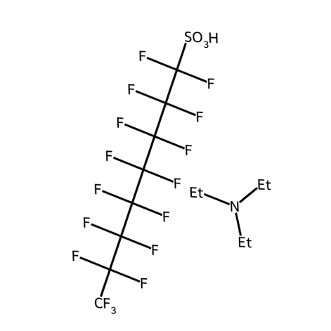 CCN(CC)CC.O=S(=O)(O)C(F)(F)C(F)(F)C(F)(F)C(F)(F)C(F)(F)C(F)(F)C(F)(F)C(F)(F)F